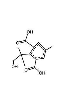 Cc1cc(C(=O)O)c(C(C)(C)CO)c(C(=O)O)c1